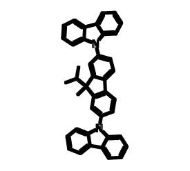 CC(C)C1(C)c2cc(-n3c4ccccc4c4ccccc43)ccc2-c2ccc(-n3c4ccccc4c4ccccc43)cc21